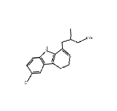 CC(=O)OCC(C)CC1=NCCc2c1[nH]c1ccc(Cl)cc21